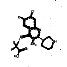 Cn1c([C@H]2CCCNC2)nc2cc(Cl)c(Cl)cc2c1=O.O=C(O)C(F)(F)F